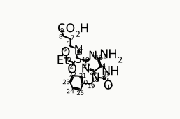 CCC(=O)/S(=N\C(=O)CCC(=O)O)c1nc(N)c2[nH]c(=O)n(Cc3ccccc3)c2n1